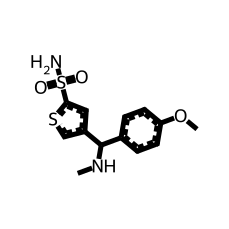 CNC(c1ccc(OC)cc1)c1csc(S(N)(=O)=O)c1